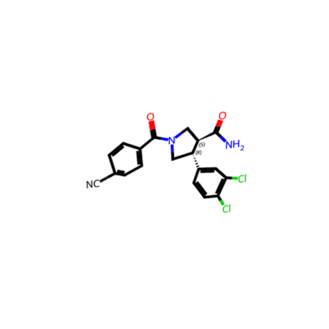 N#Cc1ccc(C(=O)N2C[C@@H](C(N)=O)[C@H](c3ccc(Cl)c(Cl)c3)C2)cc1